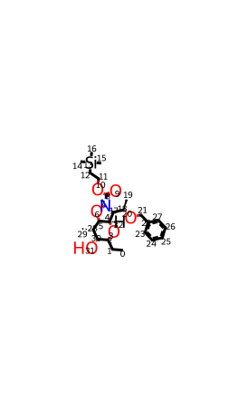 CCC1O[C@H]2C(ON(C(=O)OCC[Si](C)(C)C)[C@@H]2[C@@H](C)OCc2ccccc2)[C@@H](C)[C@H]1O